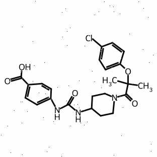 CC(C)(Oc1ccc(Cl)cc1)C(=O)N1CCC(NC(=O)Nc2ccc(C(=O)O)cc2)CC1